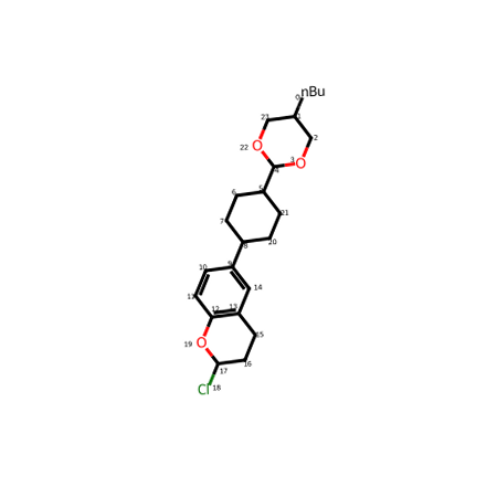 CCCCC1COC(C2CCC(c3ccc4c(c3)CCC(Cl)O4)CC2)OC1